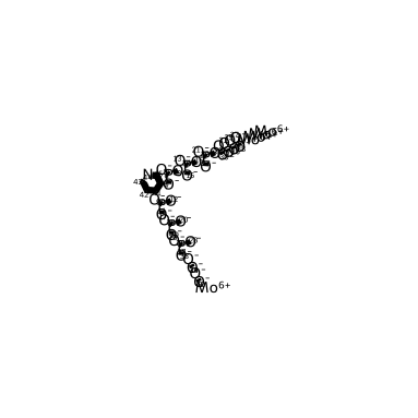 [Mo+6].[Mo+6].[Mo+6].[Mo+6].[Mo+6].[O-]P([O-])[O-].[O-]P([O-])[O-].[O-]P([O-])[O-].[O-]P([O-])[O-].[O-]P([O-])[O-].[O-]P([O-])[O-].[O-][O-].[O-][O-].[O-][O-].[O-][O-].[O-][O-].[O-][O-].c1ccncc1